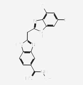 N=C(NO)c1ccc2[nH]c(Cc3nc4c(F)cc(F)cc4[nH]3)nc2c1